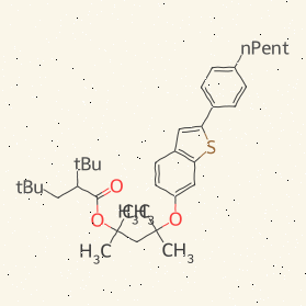 CCCCCc1ccc(-c2cc3ccc(OC(C)(C)CC(C)(C)OC(=O)C(CC(C)(C)C)C(C)(C)C)cc3s2)cc1